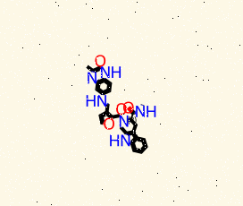 CNC(=O)[C@H]1Cc2c([nH]c3ccccc23)CN1C(=O)c1occc1CNc1ccc2[nH]c(=O)c(C)nc2c1